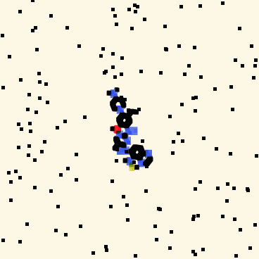 CCc1cc(Nc2ncc(C)c(Nc3ccc4nccnc4c3N(C)SC)n2)c(OC)cc1N1CCC(N(C)C)CC1